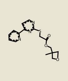 CC1(COC(=O)CSc2nccc(-c3ccccn3)n2)COC1